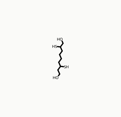 OCCC(S)CCCCC(S)CO